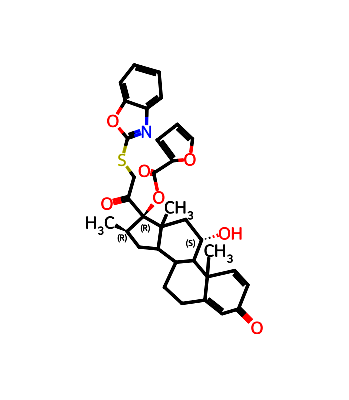 C[C@@H]1CC2C3CCC4=CC(=O)C=CC4(C)C3[C@@H](O)CC2(C)[C@@]1(OC(=O)c1ccco1)C(=O)CSc1nc2ccccc2o1